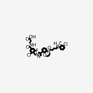 Cc1c(Cl)cccc1OCCCC(=O)N1CCCOc2c(-c3cnn(Cc4c(F)cc(C(=O)NCCC(=O)O)cc4Cl)c3)cccc21